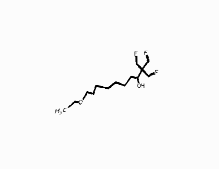 CCOCCCCCCCC(O)C(CF)(CF)CF